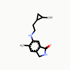 Cc1cc2c(cc1NCCC1CC1C=O)C(=O)NC2